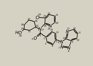 O=C(c1ccc(-n2nnc3cccnc32)cc1)N(c1ncccc1Cl)C1CCCC(O)C1